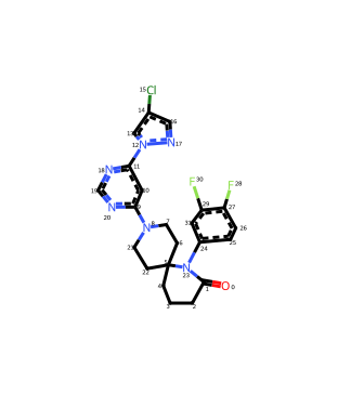 O=C1CCCC2(CCN(c3cc(-n4cc(Cl)cn4)ncn3)CC2)N1c1ccc(F)c(F)c1